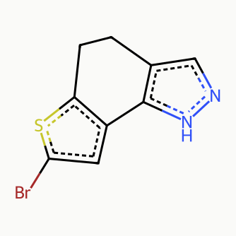 Brc1cc2c(s1)CCc1cn[nH]c1-2